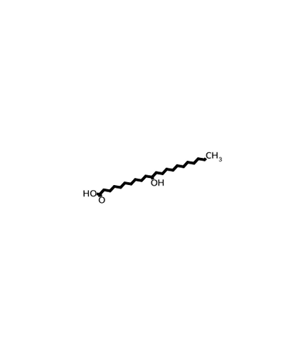 CCCCCCCCCCCC(O)CCCCCCCCCC(=O)O